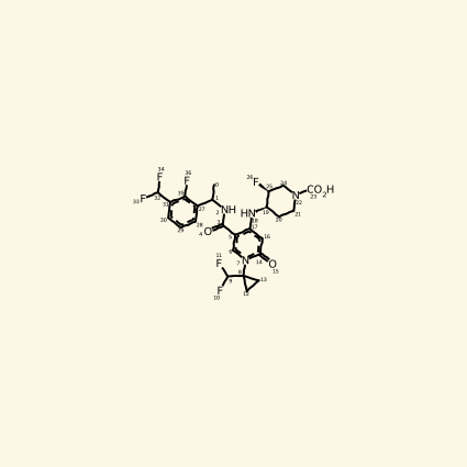 CC(NC(=O)c1cn(C2(C(F)F)CC2)c(=O)cc1N[C@@H]1CCN(C(=O)O)C[C@@H]1F)c1cccc(C(F)F)c1F